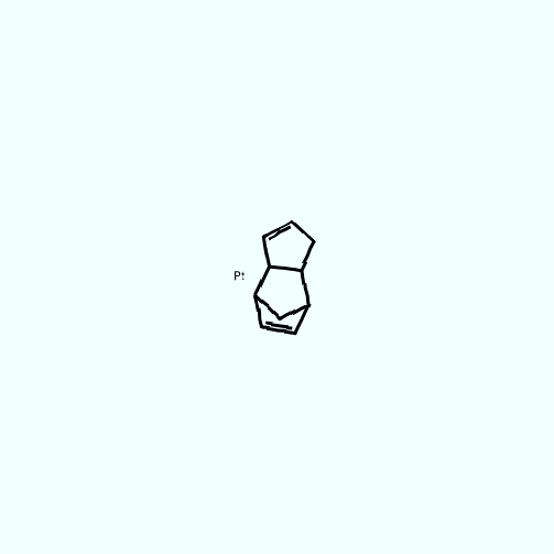 C1=CC2C3C=CC(C3)C2C1.[Pt]